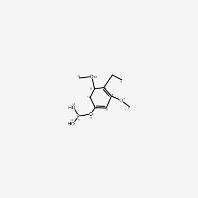 CCC1=C(OC)C=C(OP(O)O)CC1OC